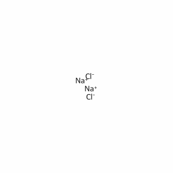 [Cl-].[Cl-].[Na+].[Na+]